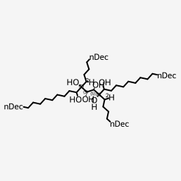 [2H]C(CCCCCCCCCCCCC)[C@@](O)(C(O)CCCCCCCCCCCCCCCCCC)[C@@H](O)[C@H](O)[C@@](O)(C([2H])CCCCCCCCCCCCC)C(O)CCCCCCCCCCCCCCCCCC